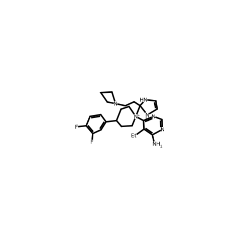 CCc1c(N)ncnc1[N+]1(C2(CCN3CCC3)NC=CN2)CCC(c2ccc(F)c(F)c2)CC1